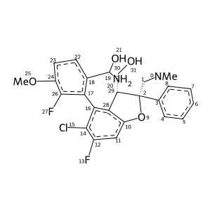 CNC[C@]1(c2ccccc2)Oc2cc(F)c(Cl)c(-c3c(C(N)O)ccc(OC)c3F)c2[C@@H]1CO